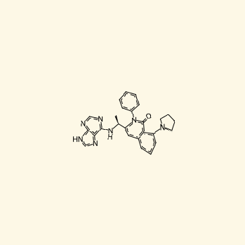 C[C@H](Nc1ncnc2[nH]cnc12)c1cc2cccc(N3CCCC3)c2c(=O)n1-c1ccccc1